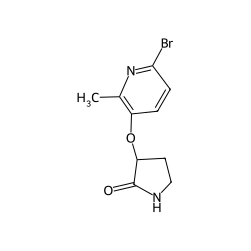 Cc1nc(Br)ccc1OC1CCNC1=O